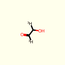 [3H]C(=O)C([3H])O